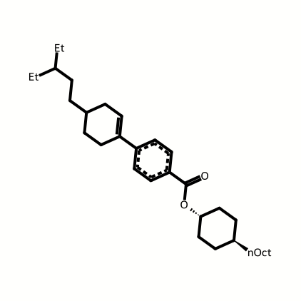 CCCCCCCC[C@H]1CC[C@H](OC(=O)c2ccc(C3=CCC(CCC(CC)CC)CC3)cc2)CC1